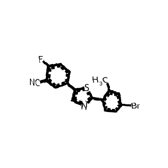 Cc1cc(Br)ccc1-c1ncc(-c2ccc(F)c(C#N)c2)s1